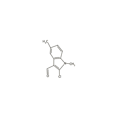 Cc1ccc2c(c1)c(C=O)c(Cl)n2C